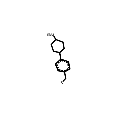 CCCCC1CCC(c2ccc(C[S])cc2)CC1